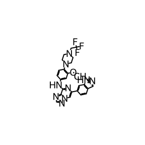 COc1cc(Nc2nc(-c3ccc4cn[nH]c4c3)cn3ncnc23)ccc1N1CCN(CC(F)(F)F)CC1